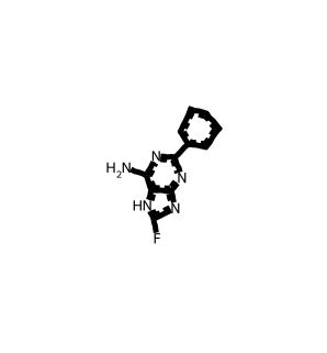 Nc1nc(-c2ccccc2)nc2nc(F)[nH]c12